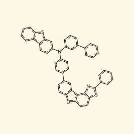 c1ccc(-c2cccc(N(c3ccc(-c4ccc5oc6ccc7sc(-c8ccccc8)nc7c6c5c4)cc3)c3ccc4c(c3)sc3ccccc34)c2)cc1